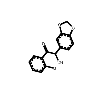 O=C(c1ccccc1Cl)C(O)c1ccc2c(c1)OCO2